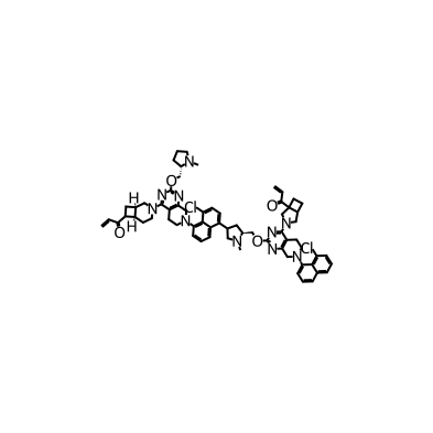 C=CC(=O)C1C[C@H]2CN(c3nc(OC[C@@H]4CCCN4C)nc4c3CCN(c3cccc5c(C6C[C@@H](COc7nc8c(c(N9CC%10CCC%10(C(=O)C=C)C9)n7)CCN(c7cccc9cccc(Cl)c79)C8)N(C)C6)ccc(Cl)c35)C4)CC[C@@H]12